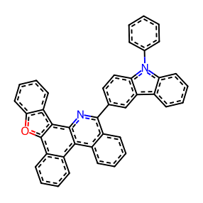 c1ccc(-n2c3ccccc3c3cc(-c4nc5c(c6ccccc46)c4ccccc4c4oc6ccccc6c54)ccc32)cc1